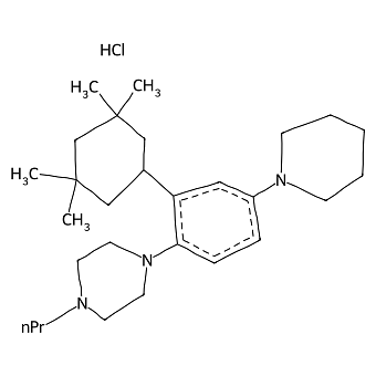 CCCN1CCN(c2ccc(N3CCCCC3)cc2C2CC(C)(C)CC(C)(C)C2)CC1.Cl